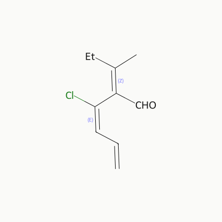 C=C/C=C(Cl)\C(C=O)=C(\C)CC